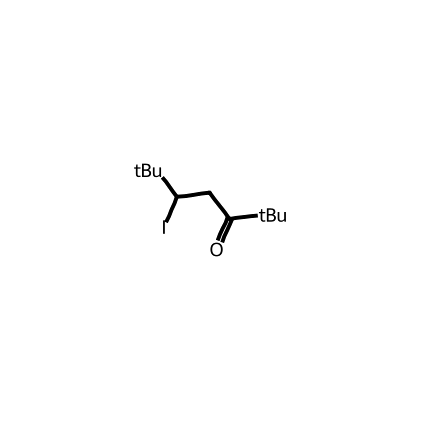 CC(C)(C)C(=O)CC(I)C(C)(C)C